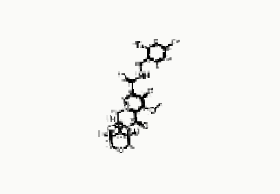 COc1c2n(cc(C(=O)NCc3ccc(F)cc3F)c1=O)C[C@@H]1O[C@H]3COC[C@H]([C@H]3C)N1C2=O